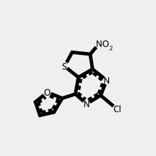 O=[N+]([O-])C1CSc2c(-c3ccco3)nc(Cl)nc21